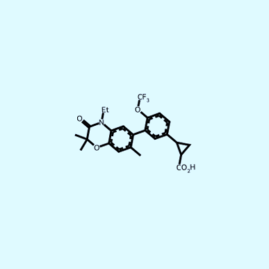 CCN1C(=O)C(C)(C)Oc2cc(C)c(-c3cc(C4CC4C(=O)O)ccc3OC(F)(F)F)cc21